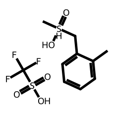 Cc1ccccc1C[SH](C)(=O)O.O=S(=O)(O)C(F)(F)F